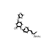 CC(=O)N[C@@H](C)/C=C/c1ccc(Oc2ccc(Oc3cncs3)cc2Cl)nc1